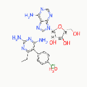 CCc1nc(N)nc(N)c1-c1ccc(Cl)cc1.Nc1ncnc2c1ncn2[C@@H]1O[C@H](CO)[C@@H](O)[C@@H]1O.O